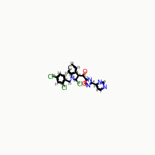 O=C(c1nc(-c2ccncn2)no1)C1c2ccccc2N(Cc2ccc(Cl)cc2Cl)C1Cl